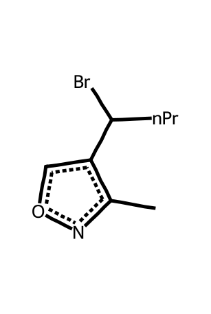 CCCC(Br)c1conc1C